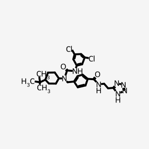 CC(C)(C)C1CCC(N(Cc2ccc(C(=O)NCCc3nnn[nH]3)cc2)C(=O)Nc2cc(Cl)cc(Cl)c2)CC1